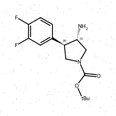 CC(C)(C)OC(=O)N1C[C@@H](N)[C@H](c2ccc(F)c(F)c2)C1